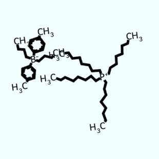 CCCCCCCC[P+](CCCCCCCC)(CCCCCCCC)CCCCCCCC.CCCC[B-](CCCC)(c1ccc(C)cc1)c1ccc(C)cc1